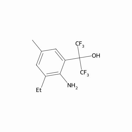 CCc1cc(C)cc(C(O)(C(F)(F)F)C(F)(F)F)c1N